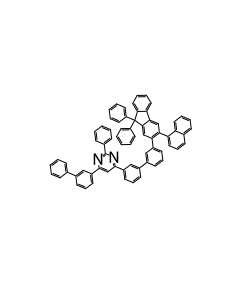 c1ccc(-c2cccc(-c3cc(-c4cccc(-c5cccc(-c6cc7c(cc6-c6cccc8ccccc68)-c6ccccc6C7(c6ccccc6)c6ccccc6)c5)c4)nc(-c4ccccc4)n3)c2)cc1